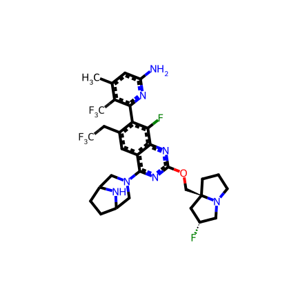 Cc1cc(N)nc(-c2c(CC(F)(F)F)cc3c(N4CC5CCC(C4)N5)nc(OC[C@@]45CCCN4C[C@H](F)C5)nc3c2F)c1C(F)(F)F